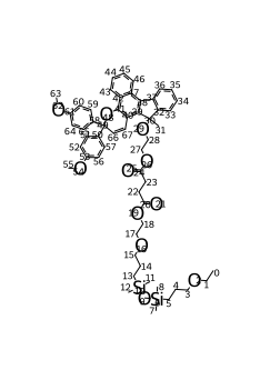 CCOCCC[Si](C)(C)O[Si](C)(C)CCCOCCOC(=O)CCC(=O)OCCOC1(C)c2ccccc2-c2c1c1c(c3ccccc23)OC(c2ccc(OC)cc2)(c2ccc(OC)cc2)C=C1